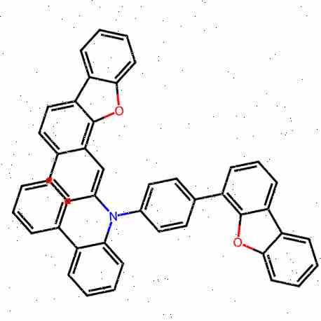 c1ccc(-c2ccccc2N(c2ccc(-c3cccc4c3oc3ccccc34)cc2)c2ccc3ccc4c5ccccc5oc4c3c2)cc1